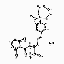 COC1(c2ccc(C=CCC(NC(=O)c3c(Cl)cccc3Cl)C(=O)O)cc2)CCCOCC1.[NaH]